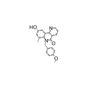 COc1ccc(Cn2c(=O)c3cccnc3c3cc(O)cc(C)c32)cc1